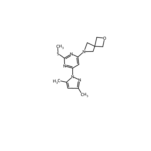 CSc1nc(N2CC3(COC3)C2)cc(-n2nc(C)cc2C)n1